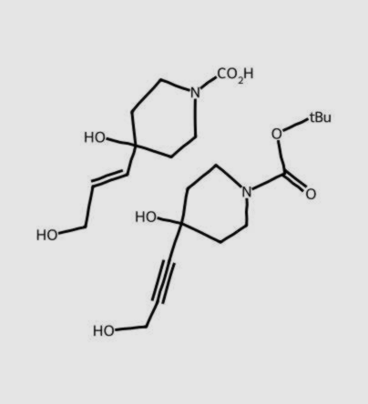 CC(C)(C)OC(=O)N1CCC(O)(C#CCO)CC1.O=C(O)N1CCC(O)(C=CCO)CC1